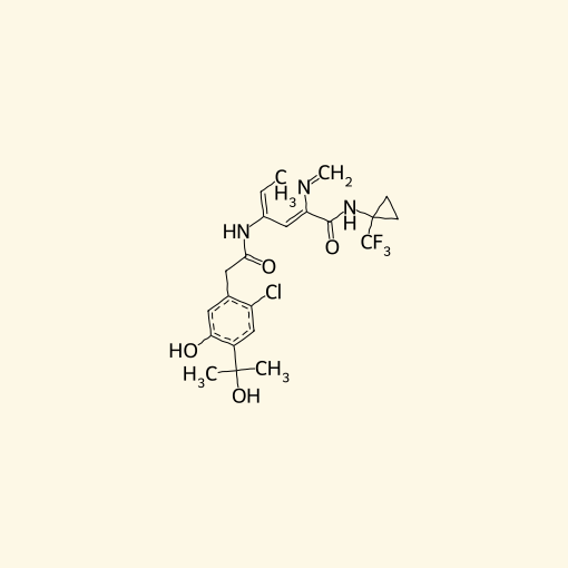 C=N/C(=C\C(=C/C)NC(=O)Cc1cc(O)c(C(C)(C)O)cc1Cl)C(=O)NC1(C(F)(F)F)CC1